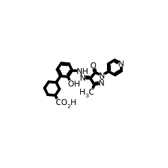 CC1=NN(c2ccncc2)C(=O)C1=NNc1cccc(C2CCCC(C(=O)O)C2)c1O